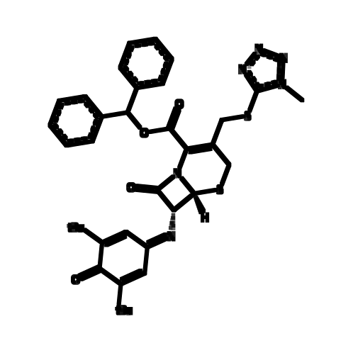 Cn1nnnc1SCC1=C(C(=O)OC(c2ccccc2)c2ccccc2)N2C(=O)[C@@H](N=C3C=C(C(C)(C)C)C(=O)C(C(C)(C)C)=C3)[C@H]2SC1